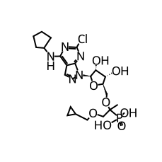 CC(COCC1CC1)(OC[C@H]1O[C@@H](n2ncc3c(NC4CCCC4)nc(Cl)nc32)[C@H](O)[C@@H]1O)P(=O)(O)O